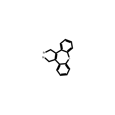 BrCC1=C(CBr)c2ccccc2Sc2ccccc21